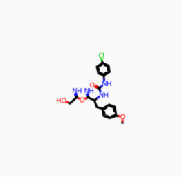 COc1ccc(CC(NC(=O)Nc2ccc(Cl)cc2)C(=N)OC(=N)CO)cc1